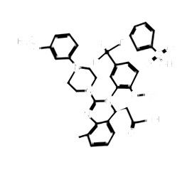 COc1cccc(N2CCN(C3=Nc4c(F)cccc4[C@H](CC(=O)O)N3c3cc(C(F)(F)F)ccc3OC)CC2)c1.O=S(=O)(O)c1ccccc1